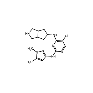 Cc1cc(Nc2ncc(Cl)c(NC3CC4CNCC4C3)n2)nn1C